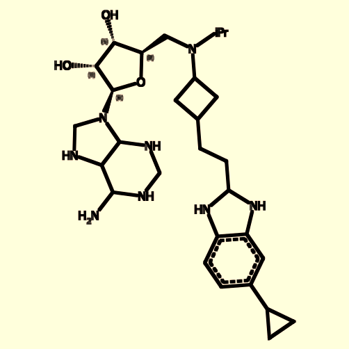 CC(C)N(C[C@H]1O[C@@H](N2CNC3C(N)NCNC32)[C@H](O)[C@@H]1O)C1CC(CCC2Nc3ccc(C4CC4)cc3N2)C1